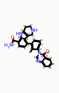 Cc1c(-c2ccc(C(N)=O)c3[nH]c4c(c23)CNCC4)cccc1-n1cnc2ccccc2c1=O